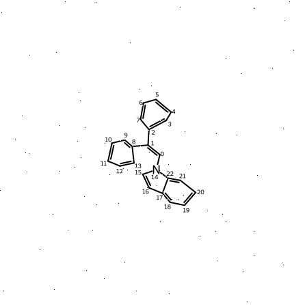 C(=C(c1ccccc1)c1ccccc1)n1ccc2ccccc21